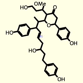 COC(CCO)C1C(=O)CC(c2ccc(O)cc2)OC1C(C)C(/C=C/CC(O)CCc1ccc(O)cc1)c1ccc(O)cc1